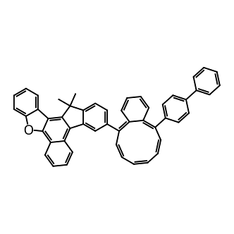 CC1(C)c2ccc(-c3ccccccc(-c4ccc(-c5ccccc5)cc4)c4ccccc34)cc2-c2c1c1c3ccccc3oc1c1ccccc21